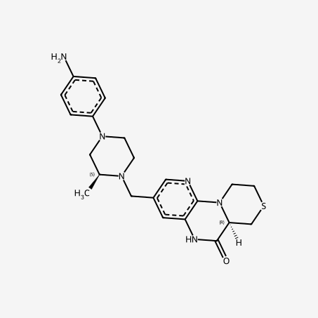 C[C@H]1CN(c2ccc(N)cc2)CCN1Cc1cnc2c(c1)NC(=O)[C@@H]1CSCCN21